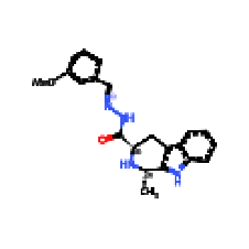 COc1cccc(/C=N/NC(=O)[C@@H]2Cc3c([nH]c4ccccc34)[C@H](C)N2)c1